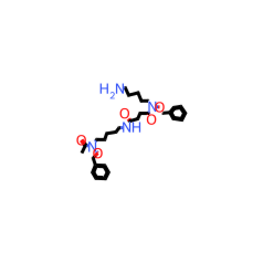 CC(=O)N(CCCCCNC(=O)CCC(=O)N(CCCCCN)OCc1ccccc1)OCc1ccccc1